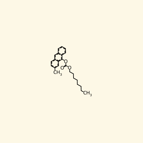 CCCCCCCCOC(=O)Oc1c2ccccc2cc2ccc(C)cc12